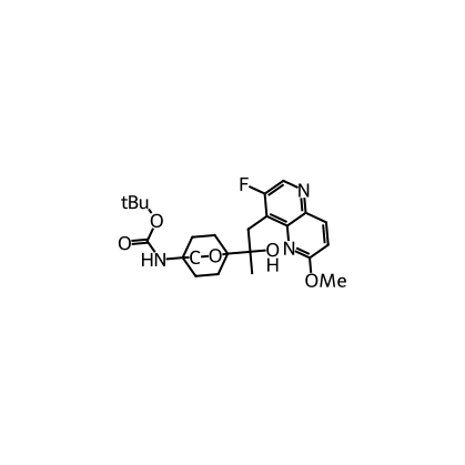 COc1ccc2ncc(F)c(CC(C)(O)C34CCC(NC(=O)OC(C)(C)C)(CC3)CO4)c2n1